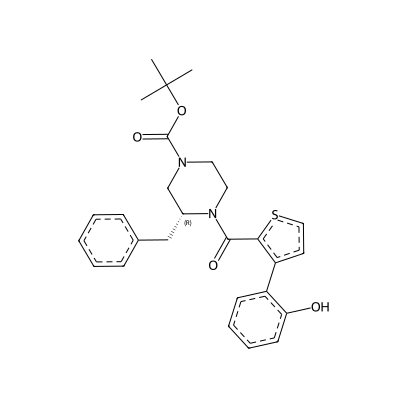 CC(C)(C)OC(=O)N1CCN(C(=O)c2sccc2-c2ccccc2O)[C@H](Cc2ccccc2)C1